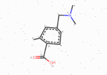 Cc1cc(CN(C)C)ccc1C(=O)O